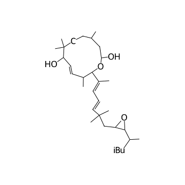 CCC(C)C(C)C1OC1CC(C)(C)/C=C/C=C(\C)C1OC(O)CC(C)CCC(C)(C)C(O)/C=C/C1C